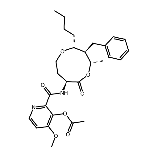 CCCC[C@H]1OCC[C@H](NC(=O)c2nccc(OC)c2OC(C)=O)C(=O)O[C@@H](C)[C@@H]1Cc1ccccc1